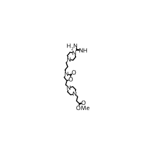 COC(=O)CCN1CCN(CC2CN(CCCN3CCN(C(=N)N)CC3)C(=O)O2)CC1